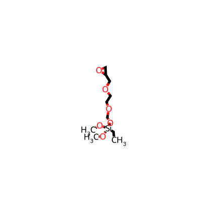 CC[Si](OC)(OC)OCOCCOCC1CO1